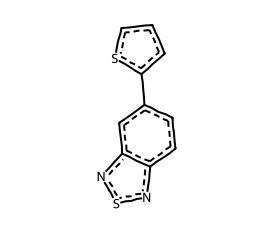 c1csc(-c2ccc3nsnc3c2)c1